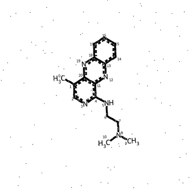 Cc1cnc(NCCN(C)C)c2nc3ccccc3nc12